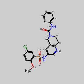 COc1ccc(Cl)cc1S(=O)(=O)Nc1cnc2c(c1)CN(C(=O)Nc1ccccc1)CC2